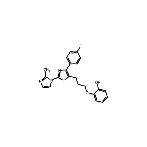 Cc1nccn1-c1nc(-c2ccc(Cl)cc2)c(CCCOc2ccccc2O)o1